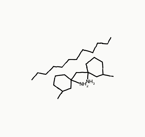 CC1CCCC(N)(CC2(N)CCCC(C)C2)C1.CCCCCCCCCCCC